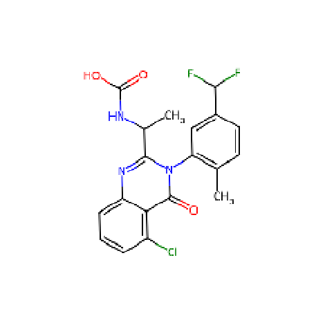 Cc1ccc(C(F)F)cc1-n1c(C(C)NC(=O)O)nc2cccc(Cl)c2c1=O